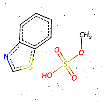 COS(=O)(=O)O.c1ccc2scnc2c1